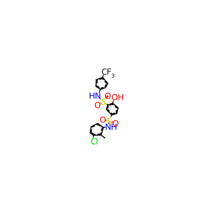 Cc1c(Cl)cccc1NS(=O)(=O)c1ccc(O)c(S(=O)(=O)Nc2ccc(C(F)(F)F)cc2)c1